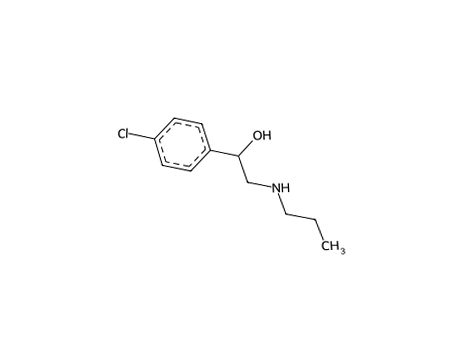 CCCNCC(O)c1ccc(Cl)cc1